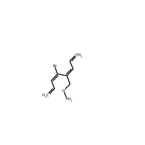 C=C/C=C(COP)\C(Br)=C/C=C